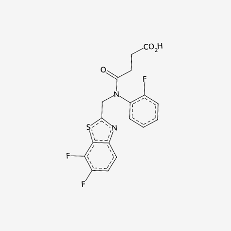 O=C(O)CCC(=O)N(Cc1nc2ccc(F)c(F)c2s1)c1ccccc1F